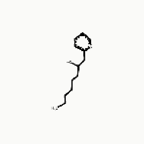 CCCCCCC(O)Cc1ccccn1